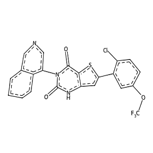 O=c1[nH]c2cc(-c3cc(OC(F)(F)F)ccc3Cl)sc2c(=O)n1-c1cncc2ccccc12